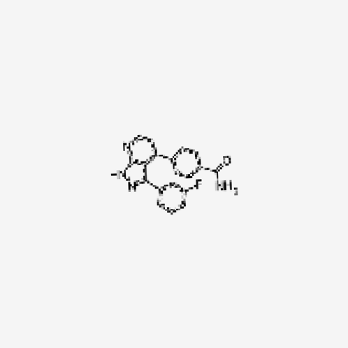 NC(=O)c1ccc(-c2ccnc3[nH]nc(-c4cccc(F)c4)c23)cc1